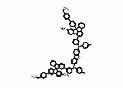 C=CC1=CCC(c2ccc(C3(c4cc(C)ccc4C)C4=C(C=CCC4)C4=C3CC(C3=CCCC(N(C5=CCC(F)C=C5)C5=CC6OC7=C(CCC(N(C8C=C(c9ccc%10c(c9)C(C9=CC(C)=CCC9C)(C9C=CC(c%11ccc(C=C)cc%11)=CC9)C9C=CCCC%109)C=CC8)C8CC=C(F)CC8)=C7)C6C=C5)=C3)C=C4)cc2)C=C1